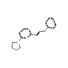 C(=C\c1nccc(N2CCCC2)n1)/Cc1ccccc1